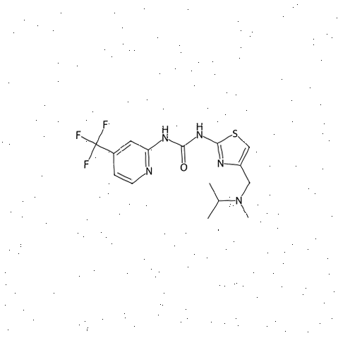 CC(C)N(C)Cc1csc(NC(=O)Nc2cc(C(F)(F)F)ccn2)n1